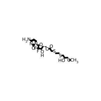 COCC(O)CSCCSCC(=O)OC[C@H]1OC(n2ccc(N)nc2=O)C(F)(F)[C@H]1O